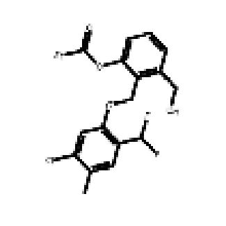 CCC(=O)Oc1cccc(CO)c1COc1cc(Cl)c(C)cc1C(F)F